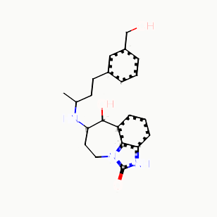 CC(CCc1cccc(CO)c1)NC1CCn2c(=O)[nH]c3cccc(c32)C1O